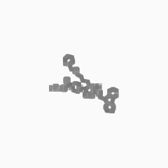 CCCCOC(=O)N1CCN(C(=O)C(CCCCOCc2ccccc2)NC(=O)OCC2c3ccccc3-c3ccccc32)CC1